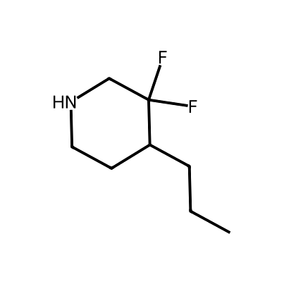 CCCC1CCNCC1(F)F